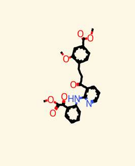 COC(=O)C(=O)c1ccccc1Nc1ncccc1C(=O)CCc1ccc(C(=O)OC)cc1OC